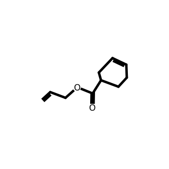 C=CCOC(=O)C1CC=CCC1